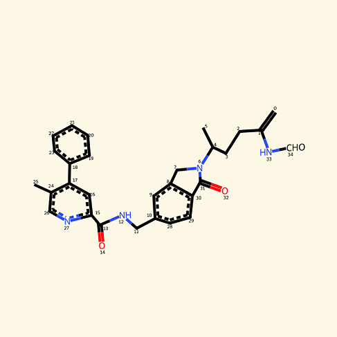 C=C(CCC(C)N1Cc2cc(CNC(=O)c3cc(-c4ccccc4)c(C)cn3)ccc2C1=O)NC=O